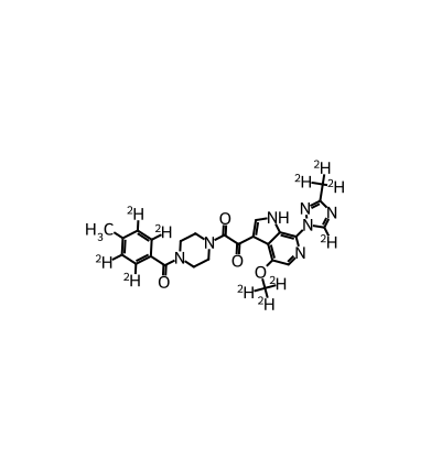 [2H]c1c([2H])c(C(=O)N2CCN(C(=O)C(=O)c3c[nH]c4c(-n5nc(C([2H])([2H])[2H])nc5[2H])ncc(OC([2H])([2H])[2H])c34)CC2)c([2H])c([2H])c1C